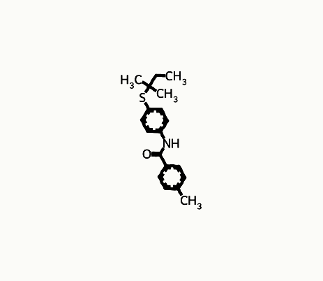 CCC(C)(C)Sc1ccc(NC(=O)c2ccc(C)cc2)cc1